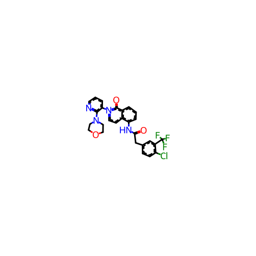 O=C(Cc1ccc(Cl)c(C(F)(F)F)c1)Nc1cccc2c(=O)n(-c3cccnc3N3CCOCC3)ccc12